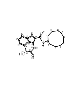 O=C(NC1CCCCCCCCC1)c1sc2nccc3c2c1NC(=O)N3O